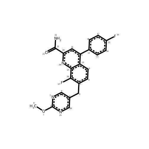 COc1ncc(Cc2ccc3c(-c4ccc(F)cc4)cc(C(N)=O)nc3c2F)cn1